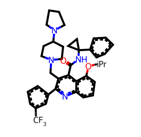 CC(C)Oc1cccc2nc(-c3cccc(C(F)(F)F)c3)c(CN3CCC(N4CCCC4)CC3)c(C(=O)NC3(c4ccccc4)CC3)c12